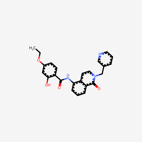 CCOc1ccc(C(=O)Nc2cccc3c(=O)n(Cc4cccnc4)ccc23)c(O)c1